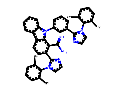 CC(C)c1cccc(C(C)C)c1-n1ccnc1-c1cccc(-n2c3ccccc3c3ccc(-c4nccn4-c4c(C(C)C)cccc4C(C)C)c(C(=N)N)c32)c1